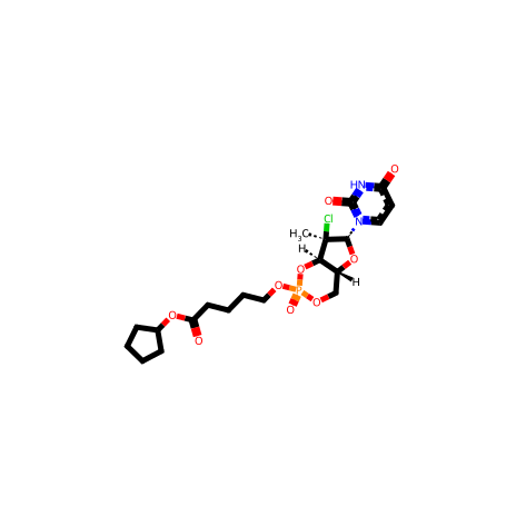 C[C@@]1(Cl)[C@@H]2OP(=O)(OCCCCC(=O)OC3CCCC3)OC[C@H]2O[C@H]1n1ccc(=O)[nH]c1=O